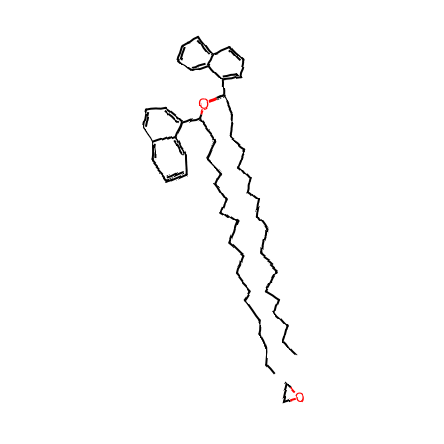 C1CO1.CCCCCCCCCCCCCCCCCC(OC(CCCCCCCCCCCCCCCCC)c1cccc2ccccc12)c1cccc2ccccc12